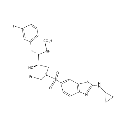 CC(C)CN(C[C@@H](O)[C@H](Cc1cccc(F)c1)NC(=O)O)S(=O)(=O)c1ccc2nc(NC3CC3)sc2c1